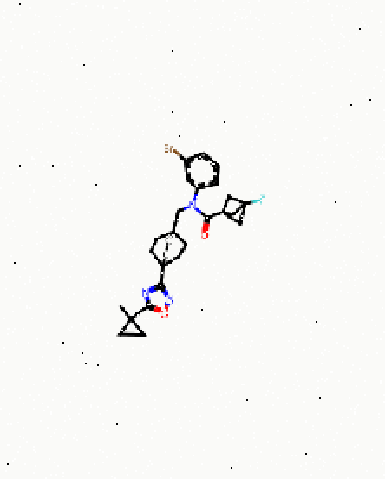 CC1(c2nc(C34CCC(CN(C(=O)C56CC(F)(C5)C6)c5cccc(Br)c5)(CC3)CC4)no2)CC1